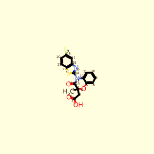 CC1(CC(=O)O)Oc2ccccc2N(c2nc3cc(F)ccc3s2)C1=O